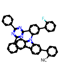 N#Cc1ccccc1-c1ccc2c3ccccc3n(-c3cc(-c4ccccc4F)ccc3-c3nc(-c4ccccc4)nc(-c4ccccc4)n3)c2c1